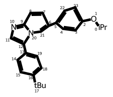 CC(C)Oc1ccc(-c2ccc3ncc(-c4ccc(C(C)(C)C)cc4)n3c2)cc1